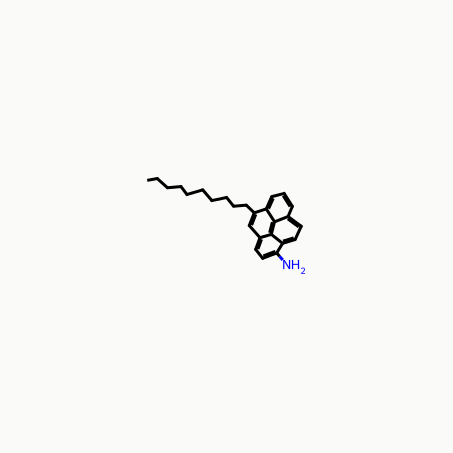 CCCCCCCCCCc1cc2ccc(N)c3ccc4cccc1c4c23